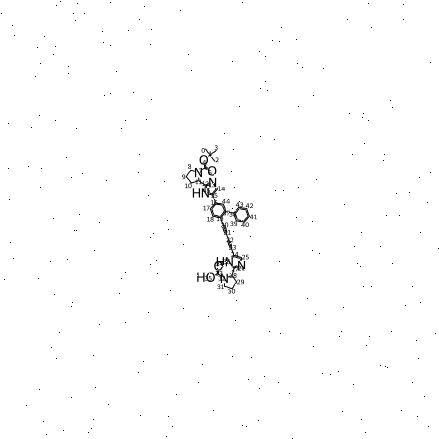 CC(C)(C)OC(=O)N1CCCC1c1ncc(-c2ccc(C#CC#Cc3cnc(C4CCCN4C(=O)O)[nH]3)c(-c3ccccc3)c2)[nH]1